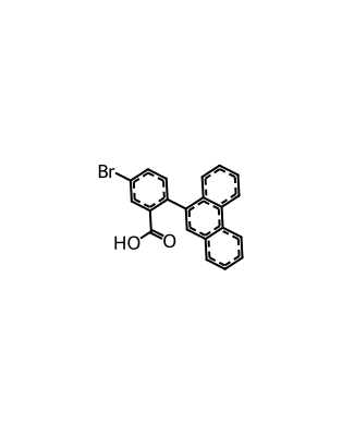 O=C(O)c1cc(Br)ccc1-c1cc2ccccc2c2ccccc12